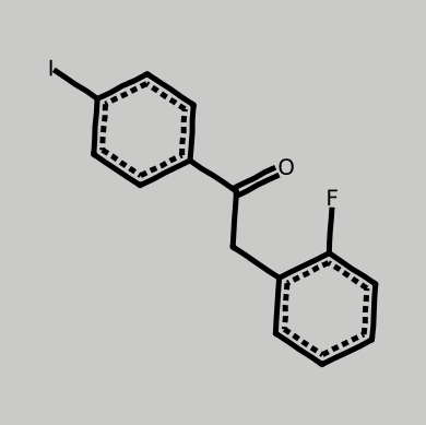 O=C(Cc1ccccc1F)c1ccc(I)cc1